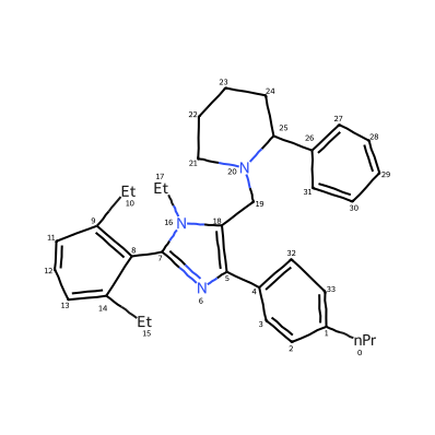 CCCc1ccc(-c2nc(-c3c(CC)cccc3CC)n(CC)c2CN2CCCCC2c2ccccc2)cc1